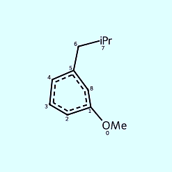 [CH2]Oc1cccc(CC(C)C)c1